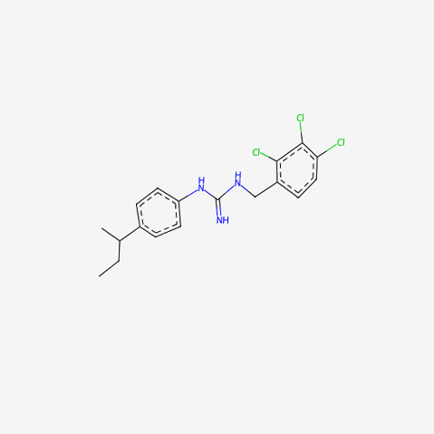 CCC(C)c1ccc(NC(=N)NCc2ccc(Cl)c(Cl)c2Cl)cc1